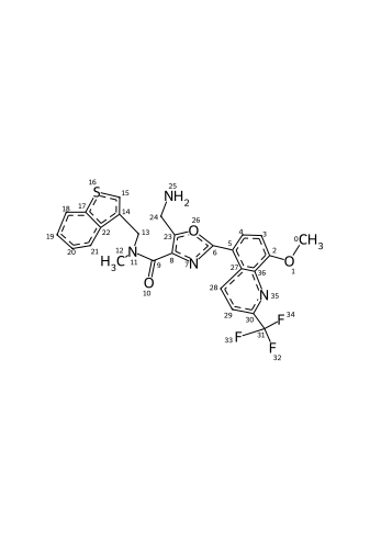 COc1ccc(-c2nc(C(=O)N(C)Cc3csc4ccccc34)c(CN)o2)c2ccc(C(F)(F)F)nc12